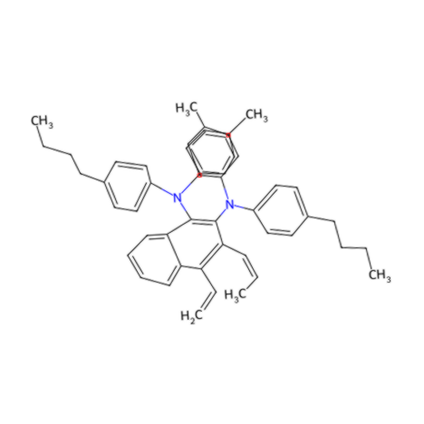 C=Cc1c(/C=C\C)c(N(c2ccc(C)cc2)c2ccc(CCCC)cc2)c(N(c2ccc(C)cc2)c2ccc(CCCC)cc2)c2ccccc12